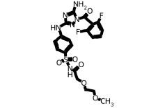 COCCOCC(=O)NS(=O)(=O)c1ccc(Nc2nc(N)n(C(=O)c3c(F)cccc3F)n2)cc1